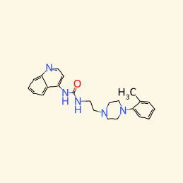 Cc1ccccc1N1CCN(CCNC(=O)Nc2ccnc3ccccc23)CC1